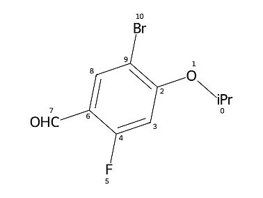 CC(C)Oc1cc(F)c(C=O)cc1Br